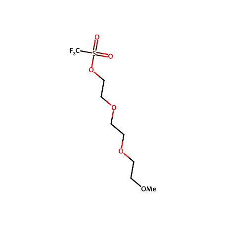 COCCOCCOCCOS(=O)(=O)C(F)(F)F